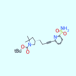 CC(C)(C)OC(=O)N1C[C@@H](CCC#Cc2cccc(S(N)(=O)=O)n2)CC1(C)C